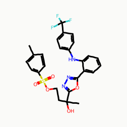 Cc1ccc(S(=O)(=O)OCCC(C)(O)c2nnc(-c3ccccc3Nc3ccc(C(F)(F)F)cc3)o2)cc1